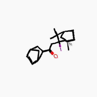 CC1(C)C2CC[C@@](C)(C2)C1(I)CC(=O)C1CC2C=CC1C2